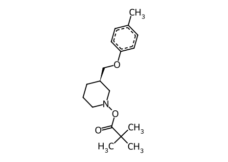 Cc1ccc(OC[C@@H]2CCCN(OC(=O)C(C)(C)C)C2)cc1